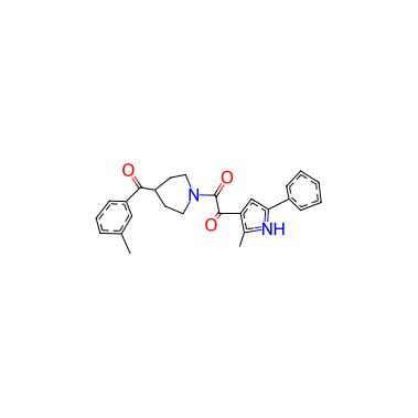 Cc1cccc(C(=O)C2CCN(C(=O)C(=O)c3cc(-c4ccccc4)[nH]c3C)CC2)c1